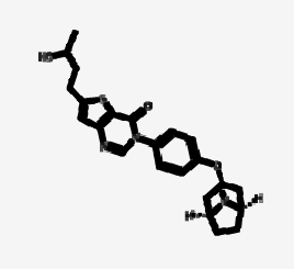 CC(O)CCc1cc2ncn(-c3ccc(O[C@H]4C[C@H]5CC[C@@H](C4)N5C)cc3)c(=O)c2s1